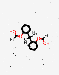 CCC(O)Oc1ccccc1C(C)(C)c1ccccc1OC(O)CC